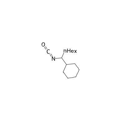 CCCCCCC(N=C=O)C1CCCCC1